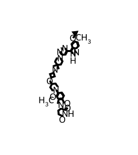 COc1c(N2CCC(O[C@H]3C[C@H](N4CC5(CCN(c6cc(-c7[nH]nc8ccc(OC9(C)CC9)cc78)ncn6)CC5)C4)C3)CC2)ccc2c1CN(C1CCC(=O)NC1=O)C2=O